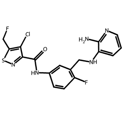 Nc1ncccc1NCc1cc(NC(=O)c2nsc(CF)c2Cl)ccc1F